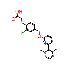 Cc1cccc(C)c1-c1cccc(OCc2ccc(CCC(=O)O)c(F)c2)n1